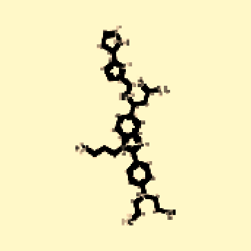 NCCCn1c(-c2ccc(N(CCO)CCO)cc2)nc2cc(C(CC(N)=O)NCc3ccc(C4CC=NN4)s3)ccc21